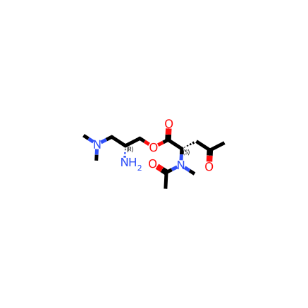 CC(=O)C[C@@H](C(=O)OC[C@H](N)CN(C)C)N(C)C(C)=O